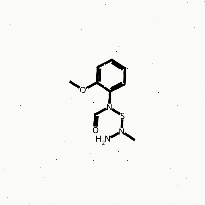 COc1cc[c]cc1N(C=O)SN(C)N